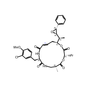 CCC[C@@H]1OC(=O)[C@H](C)CNC(=O)[C@@H](Cc2ccc(OC)c(Cl)c2)NC(=O)/C=C/C[C@@H]([C@H](C)[C@H]2O[C@@H]2c2ccccc2)OC1=O